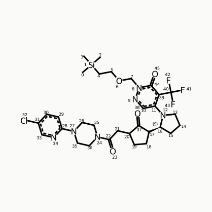 C[Si](C)(C)CCOCn1ncc(N2CCC[C@H]2C2CCC(CC(=O)N3CCN(c4ccc(Cl)cn4)CC3)C2=O)c(C(F)(F)F)c1=O